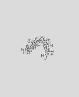 CCNCc1cnc(C(=O)Nc2cccc(-c3cccc(NC(=O)c4cc(C5CC5)c(CN[C@H](CO)C(=O)O)cn4)c3C)c2C)cc1C1CC1